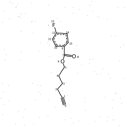 C#CCCCCOC(=O)c1ccc(F)cc1